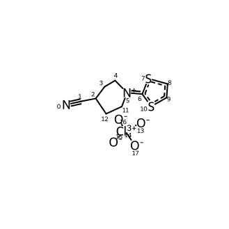 N#CC1CC[N+](=c2sccs2)CC1.[O-][Cl+3]([O-])([O-])[O-]